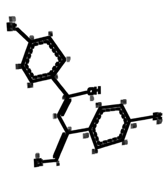 CC/C=C(\C=C(/O)c1ccc(CC)cc1)c1ccc(CC)cc1